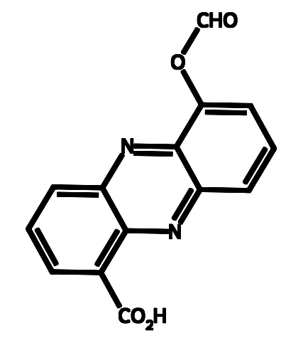 O=COc1cccc2nc3c(C(=O)O)cccc3nc12